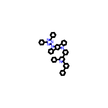 c1ccc(-c2cccc(-c3cc(-c4cccc(-n5c6ccccc6c6cc7c(cc65)c5ccccc5n7-c5nc(-c6ccccc6)nc(-c6ccccc6)n5)c4)cc(-c4ccccc4)n3)c2)cc1